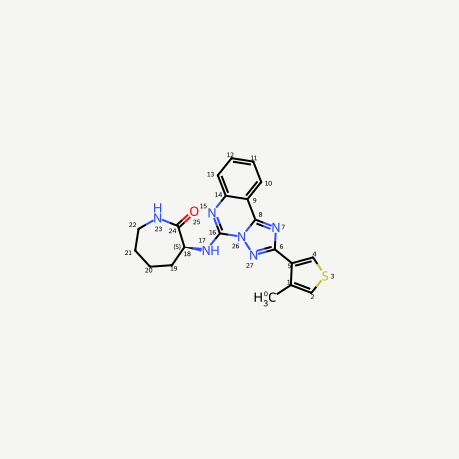 Cc1cscc1-c1nc2c3ccccc3nc(N[C@H]3CCCCNC3=O)n2n1